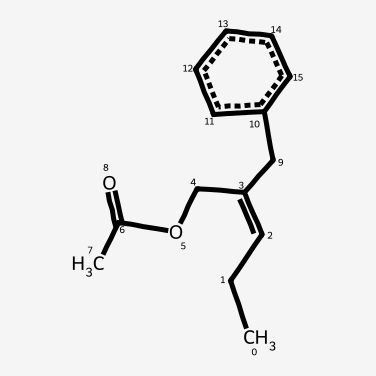 CCC=C(COC(C)=O)Cc1ccccc1